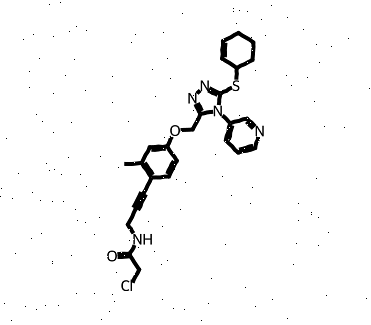 Cc1cc(OCc2nnc(SC3C=CCCC3)n2-c2cccnc2)ccc1C#CCNC(=O)CCl